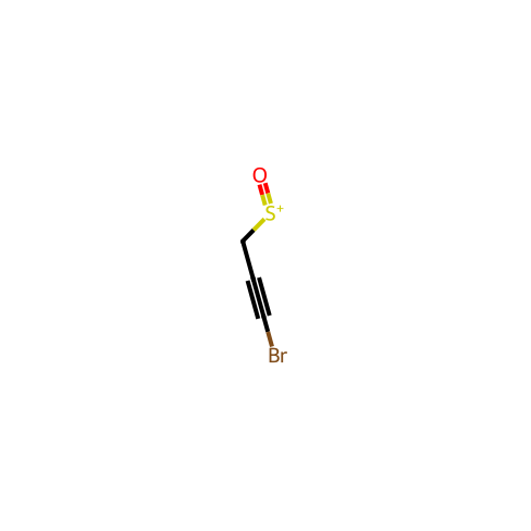 O=[S+]CC#CBr